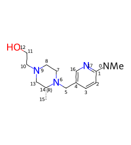 CNc1ccc(CN2CCN(CCO)C[C@H]2C)cn1